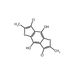 Cc1sc2c(O)c3c(Cl)c(C)sc3c(O)c2c1Cl